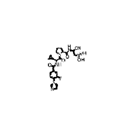 N#CC(CB(O)O)NC(=O)C1CCCN1C(=O)C(NC(=O)c1ccc(-n2ccnc2)c(F)c1)C1CC1